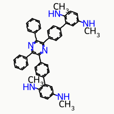 CNc1ccc(NC)c(-c2ccc(-c3nc(-c4ccc(-c5cc(NC)ccc5NC)cc4)c(-c4ccccc4)nc3-c3ccccc3)cc2)c1